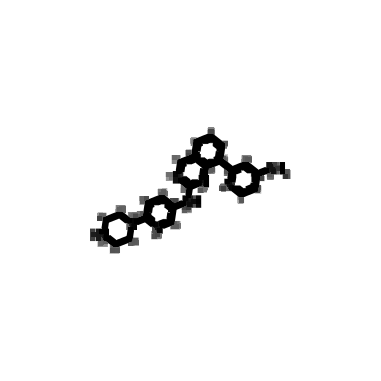 Nc1ccnc(-c2cccc3cnc(Nc4ccc(N5CCNCC5)nc4)nc23)c1